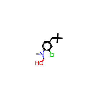 CN(CO)c1ccc(CC(C)(C)C)cc1Cl